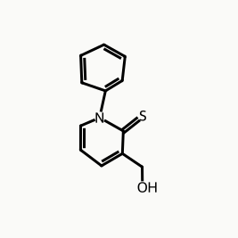 OCc1cccn(-c2ccccc2)c1=S